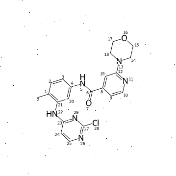 Cc1ccc(NC(=O)c2ccnc(N3CCOCC3)c2)cc1Nc1ccnc(Cl)n1